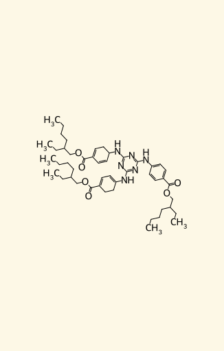 CCCCC(CC)COC(=O)C1=CCC(Nc2nc(NC3=CC=C(C(=O)OCC(CC)CCCC)CC3)nc(Nc3ccc(C(=O)OCC(CC)CCCC)cc3)n2)C=C1